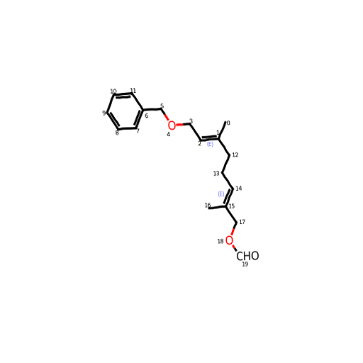 C/C(=C\COCc1ccccc1)CC/C=C(\C)COC=O